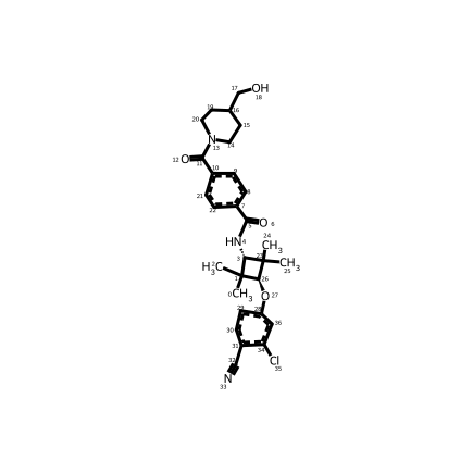 CC1(C)[C@H](NC(=O)c2ccc(C(=O)N3CCC(CO)CC3)cc2)C(C)(C)[C@H]1Oc1ccc(C#N)c(Cl)c1